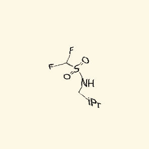 CC(C)CNS(=O)(=O)C(F)F